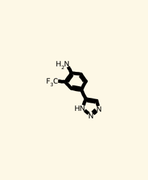 Nc1ccc(-c2cnn[nH]2)cc1C(F)(F)F